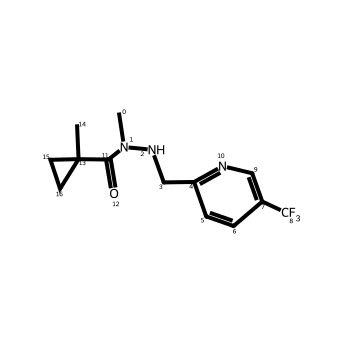 CN(NCc1ccc(C(F)(F)F)cn1)C(=O)C1(C)CC1